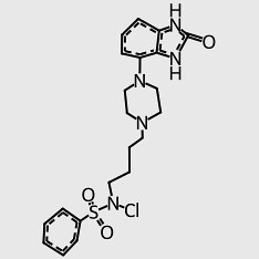 O=c1[nH]c2cccc(N3CCN(CCCCN(Cl)S(=O)(=O)c4ccccc4)CC3)c2[nH]1